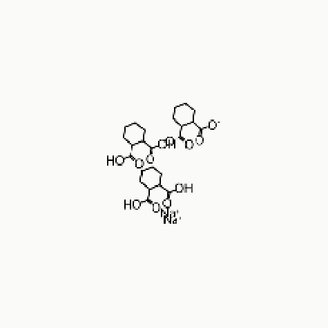 O=C(O)C1CCCCC1C(=O)O.O=C(O)C1CCCCC1C(=O)O.O=C([O-])C1CCCCC1C(=O)[O-].[Na+].[Na+]